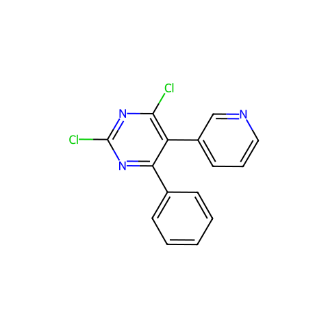 Clc1nc(Cl)c(-c2cccnc2)c(-c2ccccc2)n1